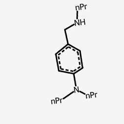 CCCNCc1ccc(N(CCC)CCC)cc1